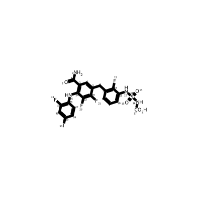 NC(=O)c1cc(Cc2cccc(NS(=O)(=O)NC(=O)O)c2F)c(F)c(F)c1Nc1ccc(I)cc1F